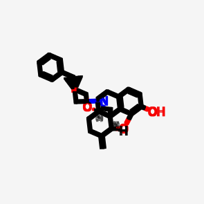 C=C1CC[C@@]2(OCCCc3ccccc3)C3Cc4ccc(O)c5c4C2(CCN3CC2CC2)[C@H]1O5